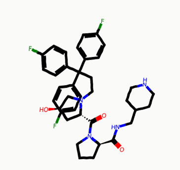 O=C(NCC1CCNCC1)[C@H]1CCCN1C(=O)[C@@H]1C[C@@H](O)CN1CCC(c1ccc(F)cc1)(c1ccc(F)cc1)c1ccc(F)cc1